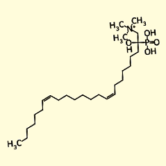 CCCCCC/C=C\CCCCCC/C=C\CCCCCCC(O)(C[N+](C)(C)C)P(=O)(O)O